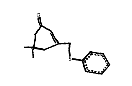 CC1(C)CC(=O)C=C(CSc2ccccc2)C1